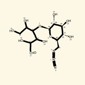 [N-]=[N+]=NC[C@H]1O[C@@H](OC(C(O)CO)C(O)C(O)C=O)[C@H](O)[C@@H](O)[C@@H]1O